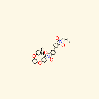 Cc1ccc(Oc2cccc(Oc3ccc(N4C(=O)c5ccc(-c6ccc7c(c6)C(=O)N(C)C7=O)cc5C4=O)cc3)c2)cc1